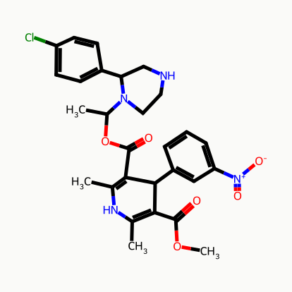 COC(=O)C1=C(C)NC(C)=C(C(=O)OC(C)N2CCNCC2c2ccc(Cl)cc2)C1c1cccc([N+](=O)[O-])c1